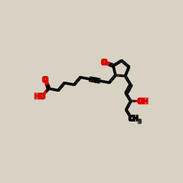 CCC(O)C=CC1CCC(=O)C1CC#CCCCCC(=O)O